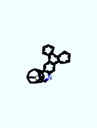 c1ccc2c(c1)c1ccccc1c1cc3c4c(cnc3cc21)C1CC2CC(C1)CC4C2